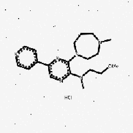 COCCN(C)c1ncc(-c2ccncc2)nc1N1CCCN(C)CC1.Cl